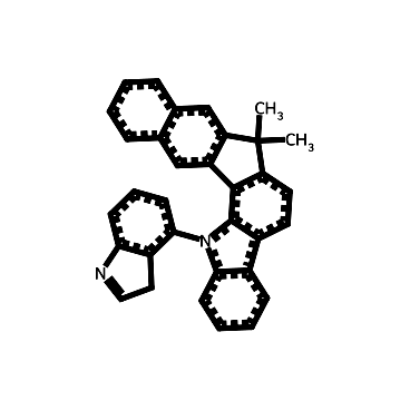 CC1(C)c2cc3ccccc3cc2-c2c1ccc1c3ccccc3n(-c3cccc4c3CC=N4)c21